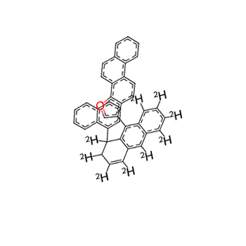 [2H]C1=C([2H])C([2H])C([2H])(c2cccc3ccccc23)c2c1c([2H])c1c([2H])c([2H])c([2H])c([2H])c1c2-c1coc2c1ccc1c3ccccc3ccc12